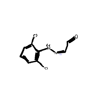 O=C/C=N\Nc1c(Cl)cccc1Cl